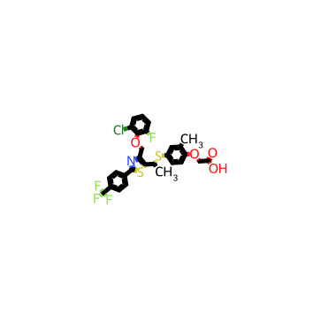 Cc1cc(SC(C)c2sc(-c3ccc(C(F)(F)F)cc3)nc2COc2c(F)cccc2Cl)ccc1OCC(=O)O